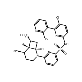 CCC[C@@H]1CCN(c2cccc(S(=O)(=O)Nc3ccc(Cl)c(-c4cccnc4C(C)C)n3)n2)[C@H]2C[C@H](C(=O)O)[C@@H]12